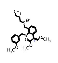 CCCC[S+]([O-])Cc1cccc(/C(=C\OC)C(=O)OC)c1SCc1cccc(OC)c1